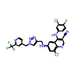 N#Cc1cnc2c(Cl)cc(NCc3cn(Cc4ccnc(C(F)(F)F)c4)nn3)cc2c1Nc1ccc(F)c(Cl)c1